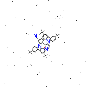 CC(C)(C)c1ccc2c(c1)c1cc(C(C)(C)C)ccc1n2-c1ccncc1-c1ccc(C#N)cc1-n1c2ccc(C(C)(C)C)cc2c2cc(C(C)(C)C)ccc21